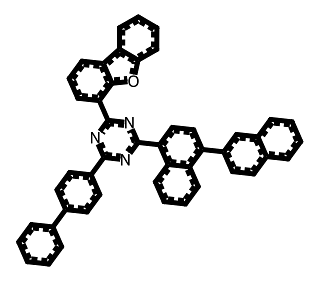 c1ccc(-c2ccc(-c3nc(-c4ccc(-c5ccc6ccccc6c5)c5ccccc45)nc(-c4cccc5c4oc4ccccc45)n3)cc2)cc1